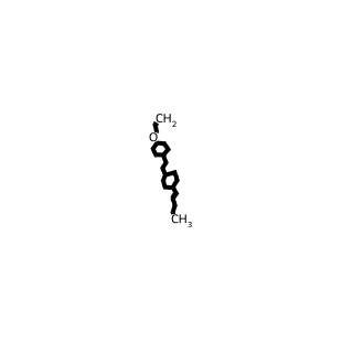 C=CCOC1CCC(CCC2CCC(C=CCCC)CC2)CC1